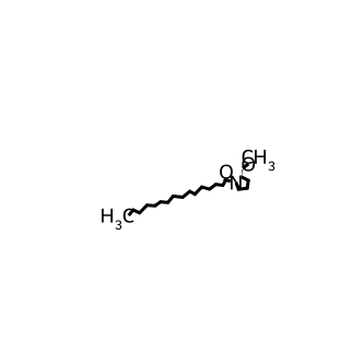 CCCCCCCCCCCCCCCC(=O)N1CCC[C@H]1COC